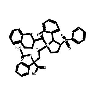 NC(=O)NC(CC(=O)[N+]1(C(=O)C2CCc3ccccc3N2)CCC(S(=O)(=O)c2ccccc2)C1c1ccccc1F)(C(=O)O)c1ccccc1